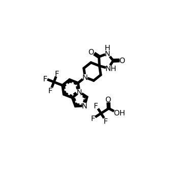 O=C(O)C(F)(F)F.O=C1NC(=O)C2(CCN(c3cc(C(F)(F)F)cc4cncn34)CC2)N1